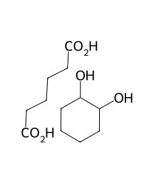 O=C(O)CCCCC(=O)O.OC1CCCCC1O